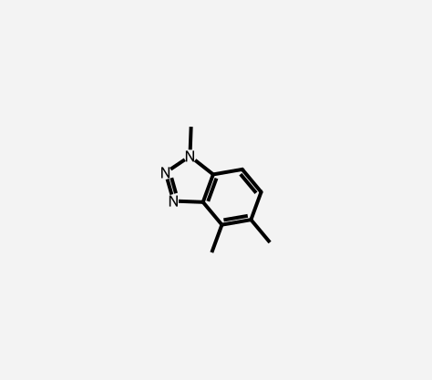 Cc1ccc2c(nnn2C)c1C